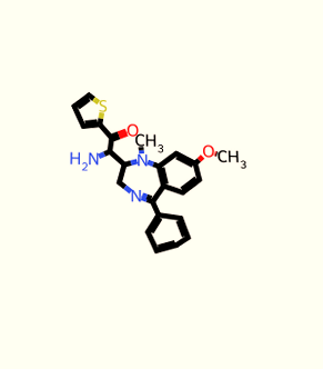 COc1ccc2c(c1)N(C)C(C(N)C(=O)c1cccs1)CN=C2c1ccccc1